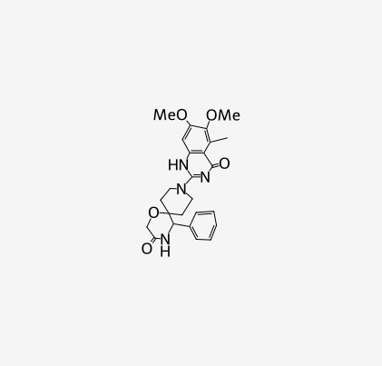 COc1cc2[nH]c(N3CCC4(CC3)OCC(=O)NC4c3ccccc3)nc(=O)c2c(C)c1OC